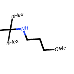 CCCCCCC(C)(CCCCCC)NCCCOC